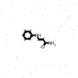 NC(=O)C=CNc1ccccc1